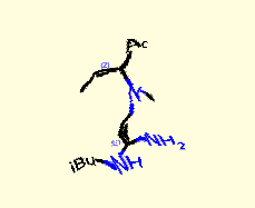 C/C=C(/C(C)=O)N(C)/C=C(\N)NC(C)CC